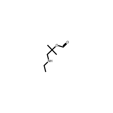 CCNCC(C)(C)OC=O